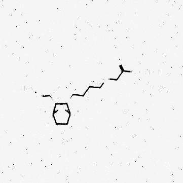 CCCCCCOC[C@H]1[C@@H](CCCCOCC(=O)N(C)O)[C@H]2CC[C@@H]1O2